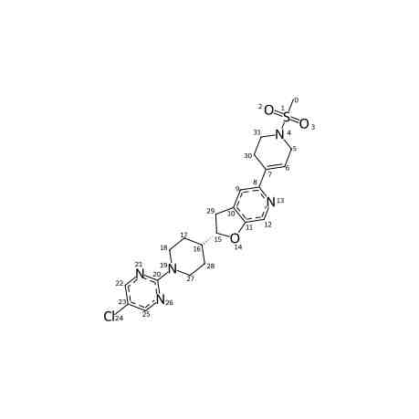 CS(=O)(=O)N1CC=C(c2cc3c(cn2)O[C@H](C2CCN(c4ncc(Cl)cn4)CC2)C3)CC1